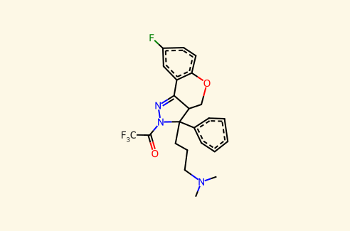 CN(C)CCCC1(c2ccccc2)C2COc3ccc(F)cc3C2=NN1C(=O)C(F)(F)F